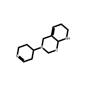 C1=NCCC(N2COC3NCCC=C3C2)C1